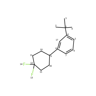 CC(C)(C)c1cccc([C]2CCC(F)(F)CC2)c1